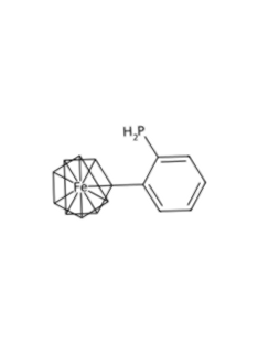 Pc1ccccc1[C]12[CH]3[CH]4[CH]5[CH]1[Fe]45321678[CH]2[CH]1[CH]6[CH]7[CH]28